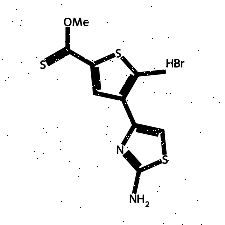 Br.COC(=S)c1cc(-c2csc(N)n2)c(C)s1